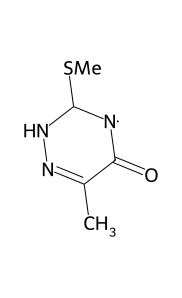 CSC1[N]C(=O)C(C)=NN1